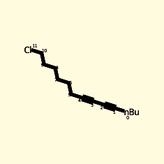 CCCCC#CC#CCCCCCCCl